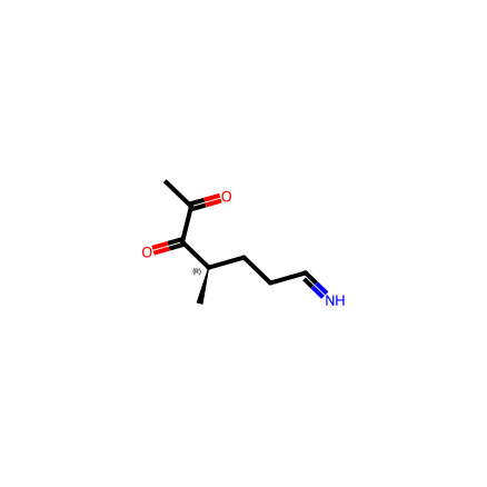 CC(=O)C(=O)[C@H](C)CCC=N